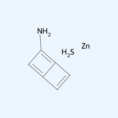 Nc1cc2ccc1-2.S.[Zn]